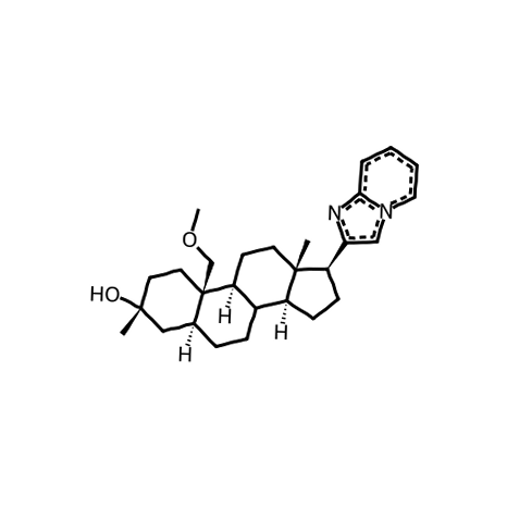 COC[C@]12CC[C@@](C)(O)C[C@@H]1CCC1[C@@H]3CC[C@H](c4cn5ccccc5n4)[C@@]3(C)CC[C@@H]12